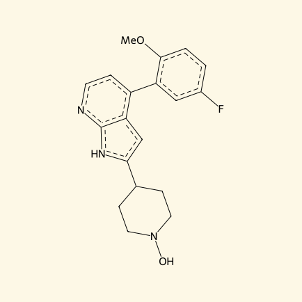 COc1ccc(F)cc1-c1ccnc2[nH]c(C3CCN(O)CC3)cc12